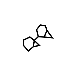 C1CCC2(C3CCCC4C[C]43)CC2C1